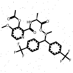 COc1ccnc(C(=O)N[C@@H](C)C(=O)ON(C)C(c2ccc(C(F)(F)F)cc2)c2ccc(C(F)(F)F)cc2)c1OC(C)=O